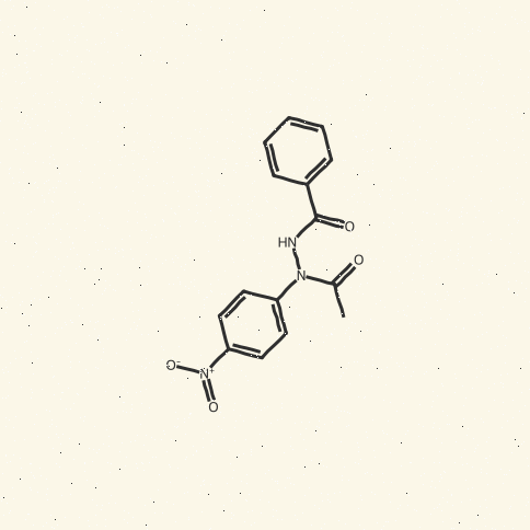 CC(=O)N(NC(=O)c1ccccc1)c1ccc([N+](=O)[O-])cc1